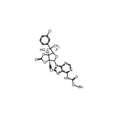 C#C[C@@]12OC(=O)O[C@@H]1[C@@](F)(C(C)(C(=O)O)c1cccc(Cl)c1)O[C@H]2n1cnc2c(NC(=O)OC(C)(C)C)ncnc21